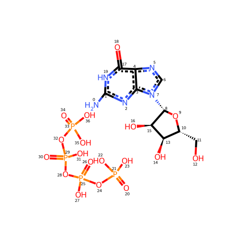 Nc1nc2c(ncn2[C@@H]2O[C@H](CO)[C@@H](O)[C@H]2O)c(=O)[nH]1.O=P(O)(O)OP(=O)(O)OP(=O)(O)OP(=O)(O)O